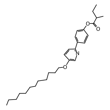 CCCCCCCCCCCCOc1ccc(-c2ccc(OC(=O)C(C)CC)cc2)nc1